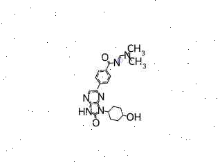 CN(C)/C=N/C(=O)c1ccc(-c2cnc3[nH]c(=O)n(C4CCC(O)CC4)c3n2)cc1